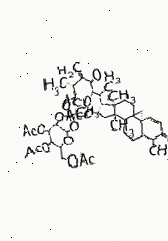 C=C(C(=O)[C@H](OC(C)=O)[C@@H](C)[C@H]1[C@@H](OC(C)=O)C[C@@]2(C)C3CCC4[C@H](C)C(=O)C=C[C@@]45CC35CC[C@]12C)[C@@H](C)COC1(C)OC2OC(COC(C)=O)C(OC(C)=O)C(OC(C)=O)C2O1